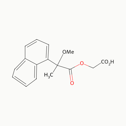 COC(C)(C(=O)OCC(=O)O)c1cccc2ccccc12